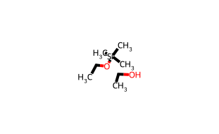 CCO.CCO[Si](C)(C)C